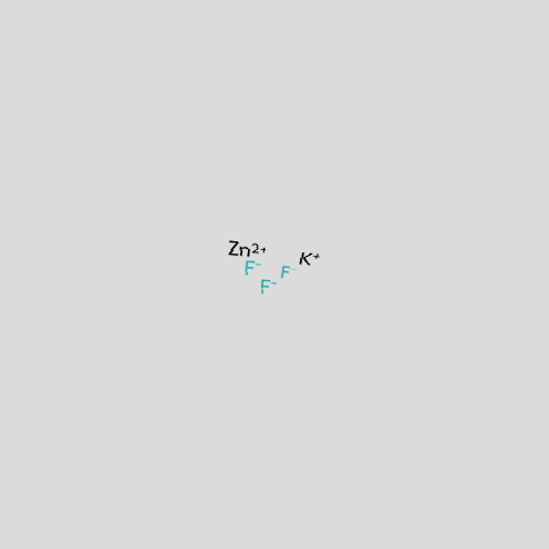 [F-].[F-].[F-].[K+].[Zn+2]